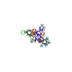 CC(C)N1CC2N(C(=O)C(N3CCCC3)CN2S(=O)(=O)c2ccc(Cl)cc2Cl)C(Cc2c(F)c(F)c(F)c(F)c2F)C1=O